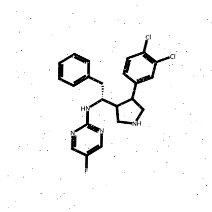 Fc1cnc(N[C@H](Cc2ccccc2)C2CNCC2c2ccc(Cl)c(Cl)c2)nc1